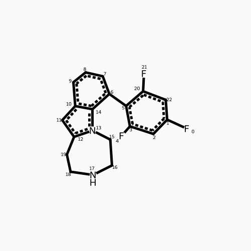 Fc1cc(F)c(-c2cccc3cc4n(c23)CCNCC4)c(F)c1